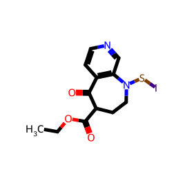 CCOC(=O)C1CCN(SI)c2cnccc2C1=O